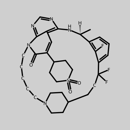 C[C@@H]1Nc2ncnc3c2cc(C2CCS(=O)(=O)CC2)c(=O)n3CCCCCN2CCC(CC2)CCC(F)(F)c2cccc1c2F